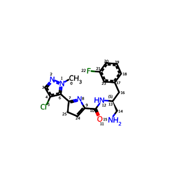 Cn1ncc(Cl)c1C1=NC(C(=O)N[C@H](CN)Cc2cccc(F)c2)=CC1